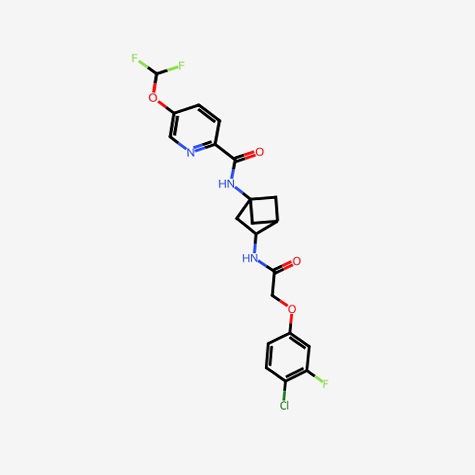 O=C(COc1ccc(Cl)c(F)c1)NC1CC2(NC(=O)c3ccc(OC(F)F)cn3)CC1C2